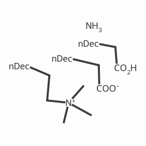 CCCCCCCCCCCC(=O)O.CCCCCCCCCCCC(=O)[O-].CCCCCCCCCCCC[N+](C)(C)C.N